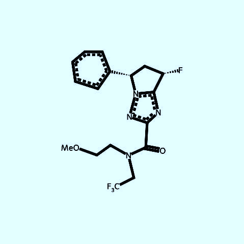 COCCN(CC(F)(F)F)C(=O)c1nc2n(n1)[C@H](c1ccccc1)C[C@@H]2F